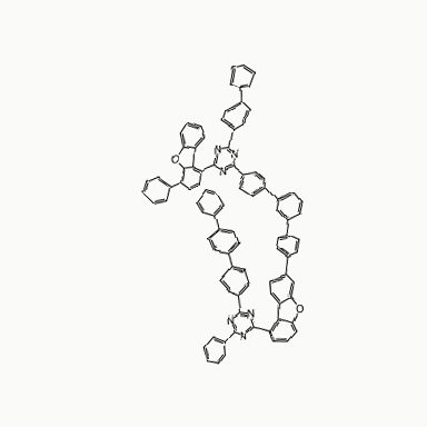 c1ccc(-c2ccc(-c3ccc(-c4nc(-c5ccccc5)nc(-c5cccc6oc7cc(-c8ccc(-c9cccc(-c%10ccc(-c%11nc(-c%12ccc(-c%13ccccc%13)cc%12)nc(-c%12ccc(-c%13ccccc%13)c%13oc%14ccccc%14c%12%13)n%11)cc%10)c9)cc8)ccc7c56)n4)cc3)cc2)cc1